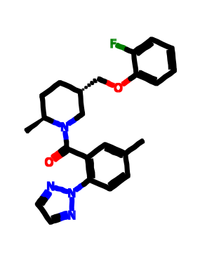 Cc1ccc(-n2nccn2)c(C(=O)N2C[C@@H](COc3ccccc3F)CC[C@@H]2C)c1